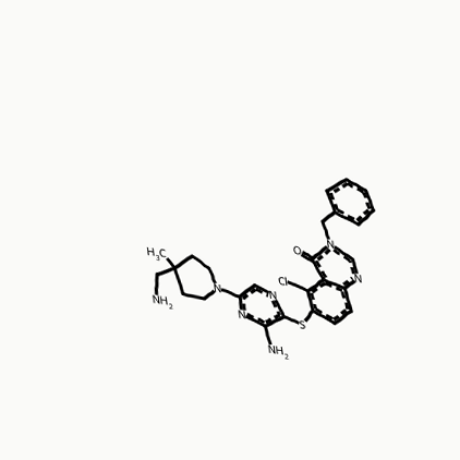 CC1(CN)CCN(c2cnc(Sc3ccc4ncn(Cc5ccccc5)c(=O)c4c3Cl)c(N)n2)CC1